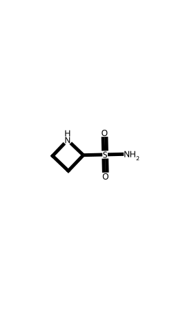 NS(=O)(=O)C1CCN1